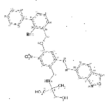 C[C@@](CO)(NCc1cc([N+](=O)[O-])c(OCc2cccc(-c3ccccc3)c2Br)cc1OCc1ccc2nonc2c1)C(=O)O